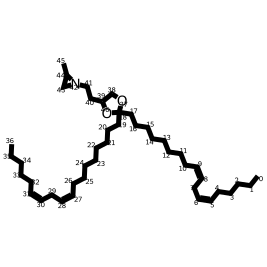 CCCCC/C=C\C/C=C\CCCCCCCCC1(CCCCCCCC/C=C\C/C=C\CCCCC)OCC(CCN2CC2C)O1